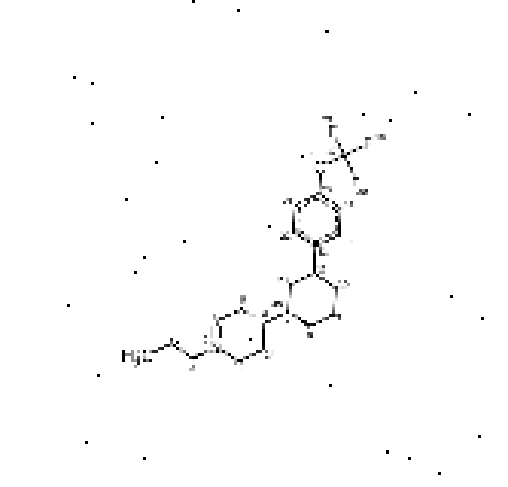 CCC[Si@H]1CC[C@H]([C@@H]2CCCC(c3ccc(OC(F)(F)F)cc3)C2)CC1